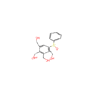 [O-][S+](c1ccccc1)c1cc(CO)c(CO)c(CO)c1CO